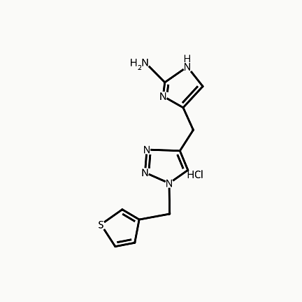 Cl.Nc1nc(Cc2cn(Cc3ccsc3)nn2)c[nH]1